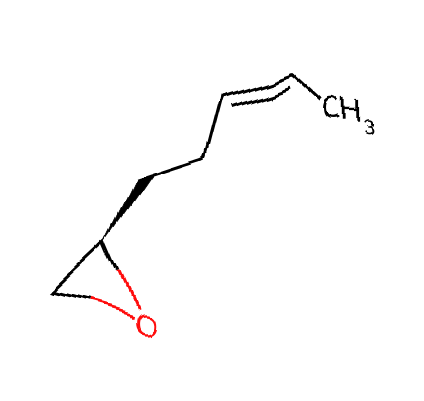 C/C=C\CC[C@@H]1CO1